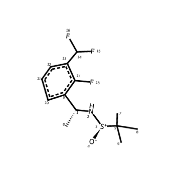 C[C@@H](N[S@+]([O-])C(C)(C)C)c1cccc(C(F)F)c1F